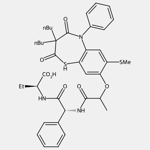 CCCCC1(CCCC)C(=O)[SH]c2cc(OC(C)C(=O)N[C@@H](C(=O)N[C@@H](CC)C(=O)O)c3ccccc3)c(SC)cc2N(c2ccccc2)C1=O